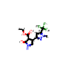 CCOC(=O)C1C(=O)NCC1c1cc(C(F)(F)F)n(C)n1